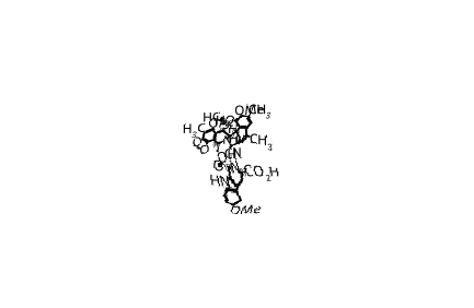 C#CS[C@@H]1c2c(OC(C)=O)c(C)c3c(c2[C@H](COC(=O)[C@@H]2N[C@@H](C(=O)O)Cc4c2[nH]c2ccc(OC)cc42)N2[C@@H]1[C@H]1c4c(cc(C)c(OC)c4O)C4(C)CC2(C#N)CN14)OCO3